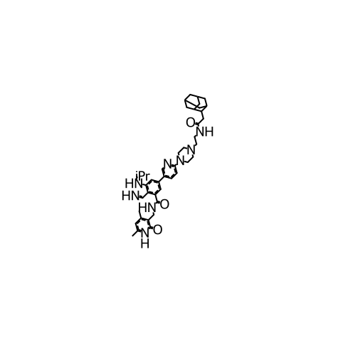 Cc1cc(C)c(CNC(=O)c2cc(-c3ccc(N4CCN(CCNC(=O)CC5C6CC7CC(C6)CC5C7)CC4)nc3)cc(NC(C)C)c2C=N)c(=O)[nH]1